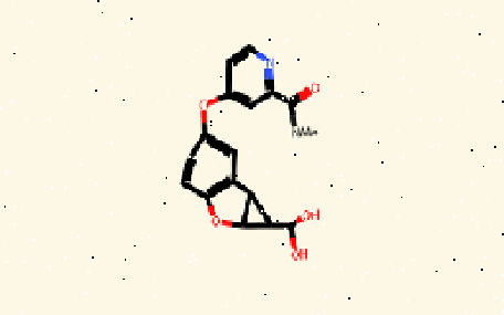 CNC(=O)c1cc(Oc2ccc3c(c2)C2C(O3)C2C(O)O)ccn1